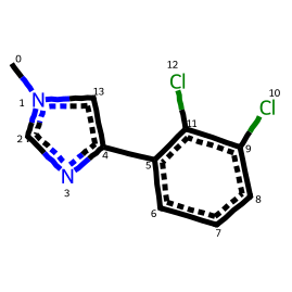 Cn1[c]nc(-c2cccc(Cl)c2Cl)c1